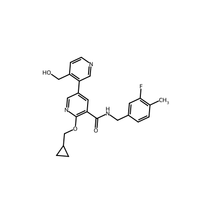 Cc1ccc(CNC(=O)c2cc(-c3cnccc3CO)cnc2OCC2CC2)cc1F